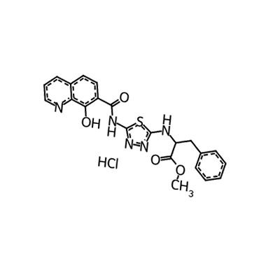 COC(=O)C(Cc1ccccc1)Nc1nnc(NC(=O)c2ccc3cccnc3c2O)s1.Cl